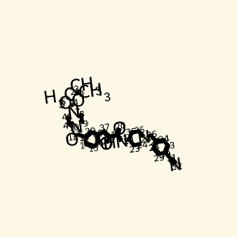 CC(C)(C)OC(=O)N1CCN(C(=O)c2ccc3oc(C(=O)NC4CCN(Cc5ccc(C#N)cc5)CC4)cc3c2)CC1